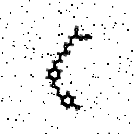 CCc1ccc(CCOc2ccc(CCCNOCCC(=O)OC(C)(C)C)cc2)nc1